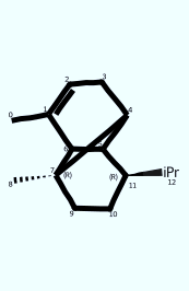 CC1=CCC2C3C1[C@]2(C)CC[C@@H]3C(C)C